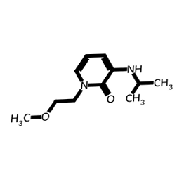 COCCn1cccc(NC(C)C)c1=O